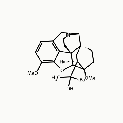 COc1ccc2c3c1OC1[C@@]4(OC)CC[C@@]5(C[C@@H]4C(C)(O)C(C)(C)C)C(C2)NCC[C@]315